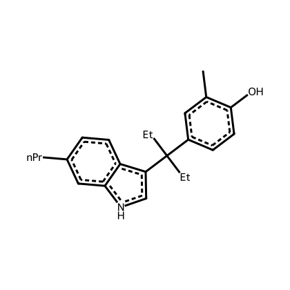 CCCc1ccc2c(C(CC)(CC)c3ccc(O)c(C)c3)c[nH]c2c1